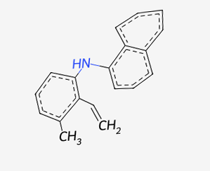 C=Cc1c(C)cccc1Nc1cccc2ccccc12